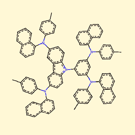 Cc1ccc(N(c2cc(N(c3ccc(C)cc3)c3cccc4ccccc34)cc(-n3c4ccc(N(c5ccc(C)cc5)c5cccc6ccccc56)cc4c4cc(N(c5ccc(C)cc5)c5cccc6ccccc56)ccc43)c2)c2cccc3ccccc23)cc1